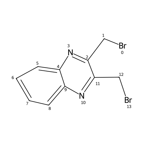 BrCc1nc2ccccc2nc1CBr